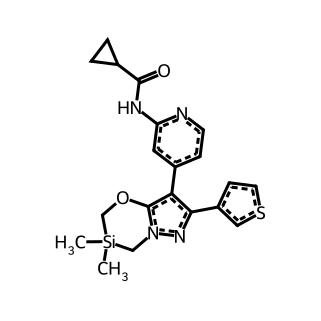 C[Si]1(C)COc2c(-c3ccnc(NC(=O)C4CC4)c3)c(-c3ccsc3)nn2C1